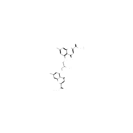 Cc1cc(OCC(O)COc2cc(C)cc3oc(C(=O)O)cc(=O)c23)c2c(=O)cc(C(=O)O)oc2c1